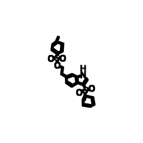 Cc1ccc(S(=O)(=O)OCCc2ccc3c(S(=O)(=O)c4ccccc4)c[nH]c3c2)cc1